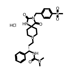 CN(C)C(=O)N[C@@H](CCN1CCC2(CC1)NC(=O)N(Cc1ccc(S(C)(=O)=O)cc1)C2=O)c1ccccc1.Cl